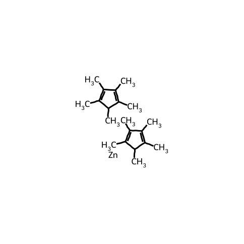 CC1=C(C)C(C)C(C)=C1C.CC1=C(C)C(C)C(C)=C1C.[Zn]